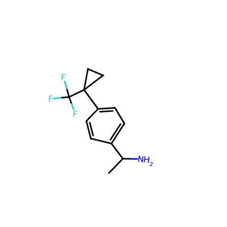 CC(N)c1ccc(C2(C(F)(F)F)CC2)cc1